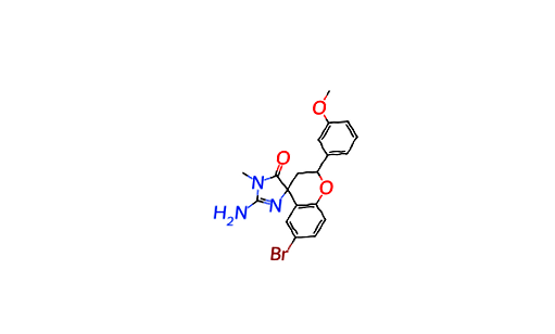 COc1cccc(C2CC3(N=C(N)N(C)C3=O)c3cc(Br)ccc3O2)c1